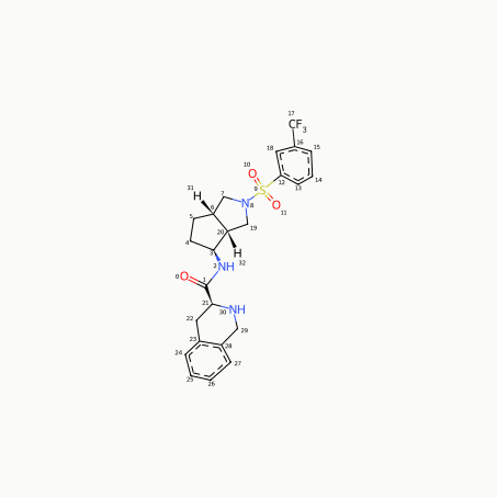 O=C(N[C@H]1CC[C@@H]2CN(S(=O)(=O)c3cccc(C(F)(F)F)c3)C[C@@H]21)[C@@H]1Cc2ccccc2CN1